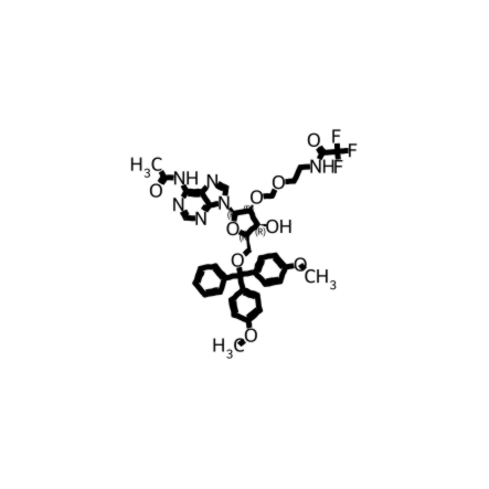 COc1ccc(C(OC[C@H]2O[C@@H](n3cnc4c(NC(C)=O)ncnc43)[C@H](OCOCCNC(=O)C(F)(F)F)[C@@H]2O)(c2ccccc2)c2ccc(OC)cc2)cc1